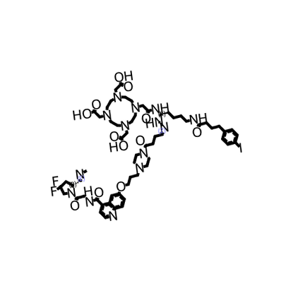 C/N=C/[C@H]1CC(F)(F)CN1C(=O)CNC(=O)c1ccnc2ccc(OCCCN3CCN(C(=O)CC/C=N\N[C@H](CCCCNC(=O)CCCc4ccc(I)cc4)NC(=O)CN4CCN(CC(=O)O)CCN(CC(=O)O)CCN(CC(=O)O)CC4)CC3)cc12